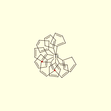 C1=CC[C]([Ti]([C]2=CC=CC2)([C]2=CC=CC2)([C]2=CC=CC2)([C]2=CC=CC2)([C]2=CC=CC2)([C]2=CC=CC2)([C]2=CC=CC2)[C]2=CC=CC2)=C1